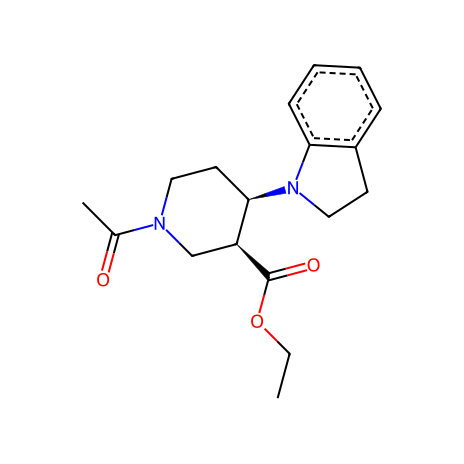 CCOC(=O)[C@H]1CN(C(C)=O)CC[C@H]1N1CCc2ccccc21